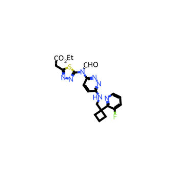 CCOC(=O)Cc1nnc(N(C=O)c2ccc(NCC3(c4ncccc4F)CCC3)nn2)s1